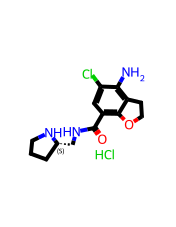 Cl.Nc1c(Cl)cc(C(=O)NC[C@@H]2CCCN2)c2c1CCO2